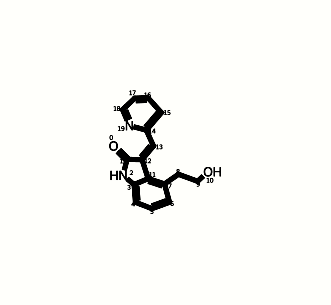 O=C1Nc2cccc(CCO)c2C1=Cc1ccccn1